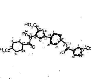 CCn1cc(C(=O)Nc2ccc(-c3cc(N(C(=O)C4CCC(C)CC4)C(C)C)c(C(=O)O)s3)cc2)cn1